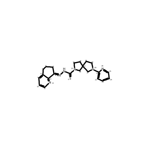 S=C(N/N=C1\CCCc2cccnc21)N1CCC2(CCN(c3ccccn3)C2)C1